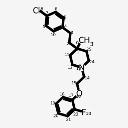 CC1(CCc2ccc(Cl)cc2)CCN(CCOc2ccccc2F)CC1